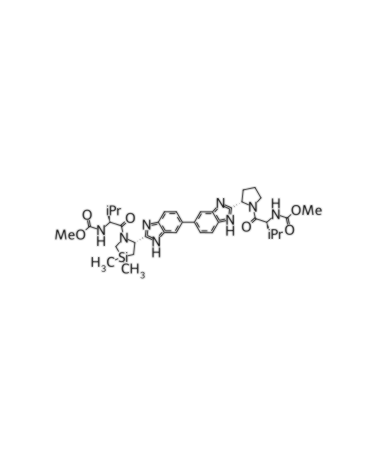 COC(=O)N[C@H](C(=O)N1CCC[C@H]1c1nc2cc(-c3ccc4nc([C@@H]5C[Si](C)(C)CN5C(=O)[C@@H](NC(=O)OC)C(C)C)[nH]c4c3)ccc2[nH]1)C(C)C